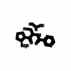 CC(C)CC(NC(=O)c1cnccn1)C(=O)N1CCC[C@H]1C(=O)O.OBO